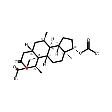 CCC(=O)OC[C@@]12[C@H](CC(=O)C[C@@H]1C)C[C@@H](C)[C@H]1[C@@H]3CC[C@H](OC(=O)CC)[C@@]3(C)CC[C@@H]12